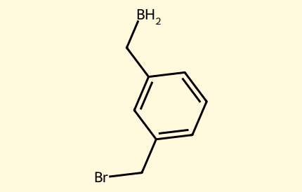 BCc1cccc(CBr)c1